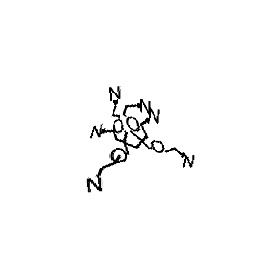 N#CCCOCC(CCC#N)(COCCC#N)CC(CCC#N)(COCCC#N)COCCC#N